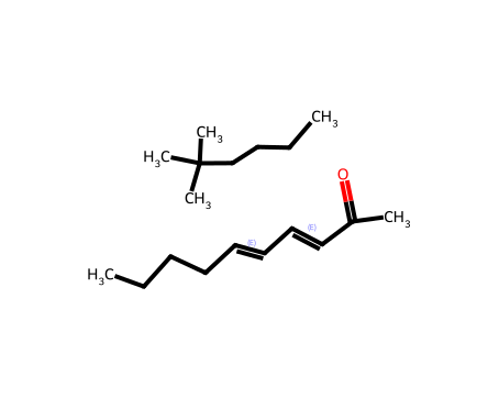 CCCC/C=C/C=C/C(C)=O.CCCCC(C)(C)C